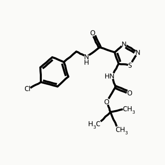 CC(C)(C)OC(=O)Nc1snnc1C(=O)NCc1ccc(Cl)cc1